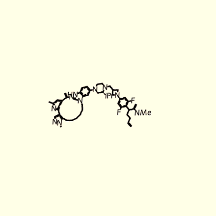 C=CCCC(C(=C)NC)c1c(F)cc(N2CC(CN3CCN(c4ccc5c(c4)N4CCCCCCc6c(cnn6C)-c6cc(cc(C)n6)C(=C)/N=C/4N5)C[C@@H]3C(C)C)C2)cc1F